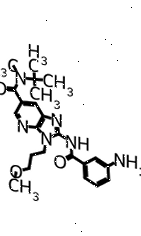 COCCCn1c(NC(=O)c2cccc(N)c2)nc2cc(C(=O)N(C)C(C)(C)C)cnc21